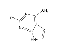 CCc1nc(C)c2cc[nH]c2n1